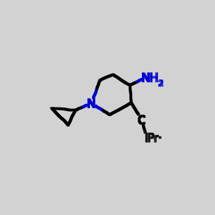 C[C](C)CC1CN(C2CC2)CCC1N